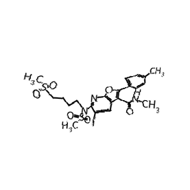 CNC(=O)c1c(-c2ccc(C)cc2)oc2nc(N(CCCCS(C)(=O)=O)S(C)(=O)=O)c(I)cc12